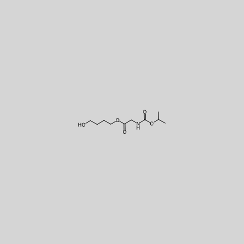 CC(C)OC(=O)NCC(=O)OCCCCO